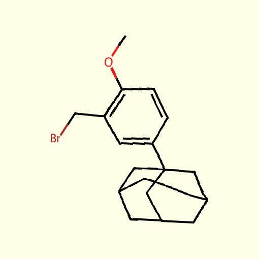 COc1ccc(C23CC4CC(CC(C4)C2)C3)cc1CBr